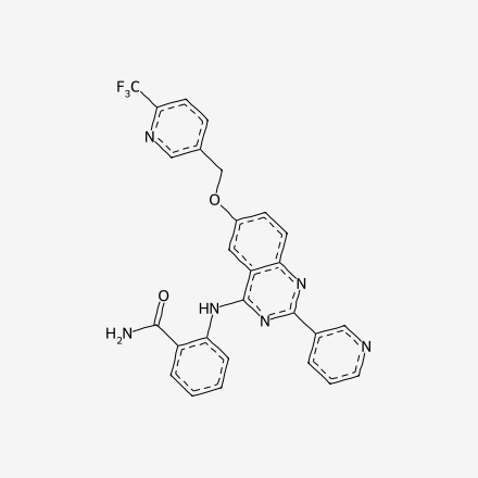 NC(=O)c1ccccc1Nc1nc(-c2cccnc2)nc2ccc(OCc3ccc(C(F)(F)F)nc3)cc12